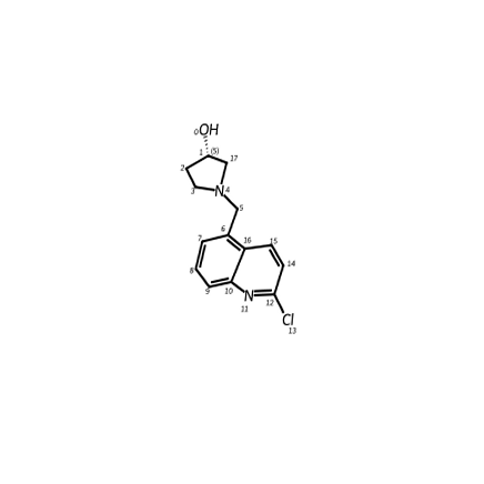 O[C@H]1CCN(Cc2cccc3nc(Cl)ccc23)C1